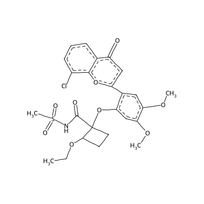 CCOC1CCC1(Oc1cc(OC)c(OC)cc1-c1cc(=O)c2cccc(Cl)c2o1)C(=O)NS(C)(=O)=O